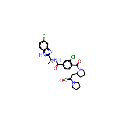 C[C@H](NC(=O)c1ccc(C(=O)N2CCCC2CC(=C=O)N2CCCC2)c(Cl)c1)c1nc2cc(Cl)ccc2[nH]1